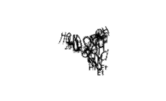 CCC(CC)Nc1nc(Cl)nc2c1ncn2[C@@H]1O[C@H](c2cc(CO)no2)[C@@H](O)[C@H]1O.O=C(O)C(F)(F)F